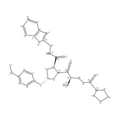 COc1ccc(C[C@@H]2C[C@@H](C(=O)NCc3nc4cnccc4s3)N(C(=O)[C@H](N)CCC(=O)N3CCCC3)C2)cc1